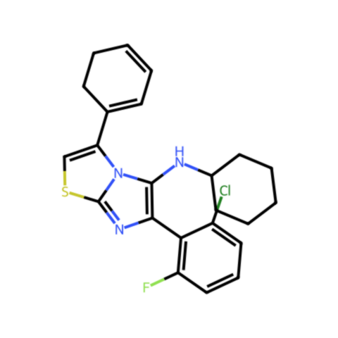 Fc1cccc(Cl)c1-c1nc2scc(C3=CC=CCC3)n2c1NC1CCCCC1